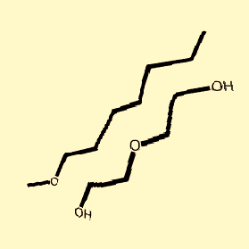 CCCCCCCOC.OCCOCCO